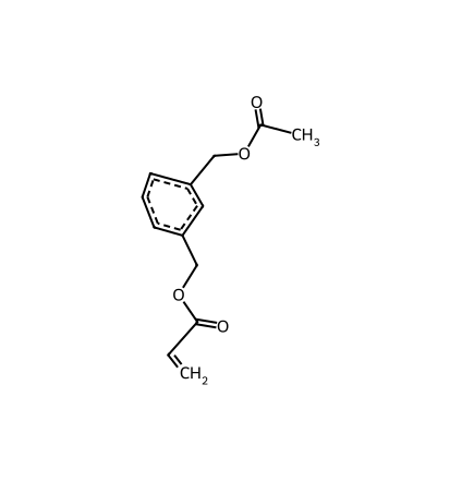 C=CC(=O)OCc1cccc(COC(C)=O)c1